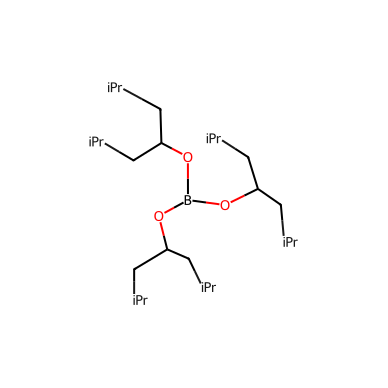 CC(C)CC(CC(C)C)OB(OC(CC(C)C)CC(C)C)OC(CC(C)C)CC(C)C